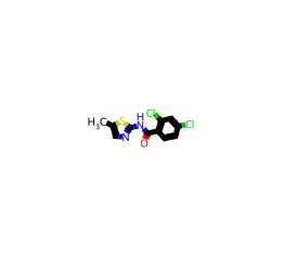 Cc1cnc(NC(=O)c2ccc(Cl)cc2Cl)s1